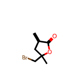 C=C1CC(C)(CBr)OC1=O